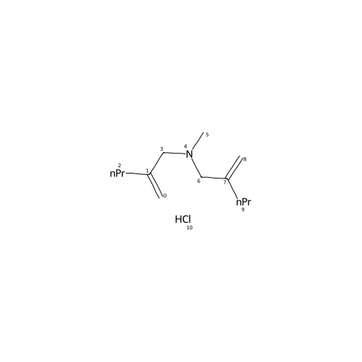 C=C(CCC)CN(C)CC(=C)CCC.Cl